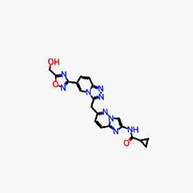 O=C(Nc1cn2nc(Cc3nnc4ccc(-c5noc(CO)n5)cn34)ccc2n1)C1CC1